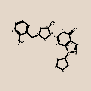 COc1ncccc1CN1C[C@@H](C)[C@H](c2nc3c(cnn3C3CCCC3)c(=O)[nH]2)C1